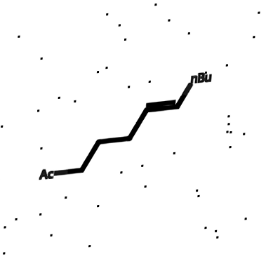 CCCCC=CCCCC(C)=O